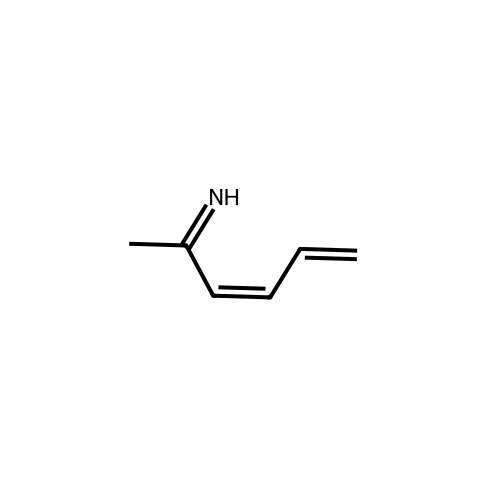 C=C/C=C\C(C)=N